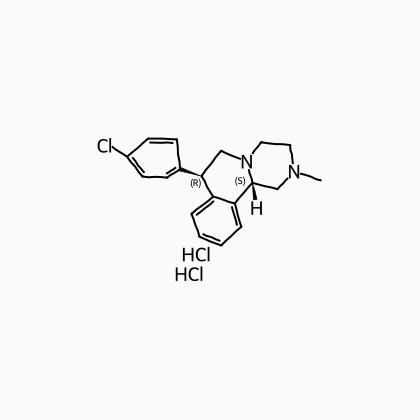 CN1CCN2C[C@H](c3ccc(Cl)cc3)c3ccccc3[C@H]2C1.Cl.Cl